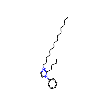 CCCCCCCCCCCCCC[n+]1ccn(-c2ccccc2)c1CCCC